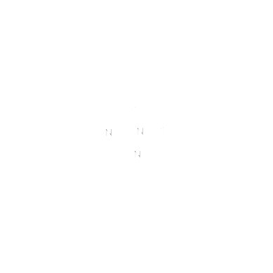 Cc1ccccc1-c1cccc(-c2nc3c(nc2N2c4ccccc4C4c5ccccc5-c5c(sc6ccc7ccccc7c56)C42)oc2ccccc23)c1C